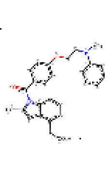 Cc1cc2c(CC(=O)O)cccc2n1C(=O)c1ccc(OCCN(C)c2ccccc2)cc1